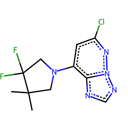 CC1(C)CN(c2cc(Cl)nn3ncnc23)CC1(F)F